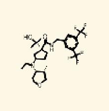 CCN([C@@H]1CC[C@@](C(=O)NCc2cc(C(F)(F)F)cc(C(F)(F)F)c2)(C(C)(C)O)C1)[C@H]1CCOC[C@H]1C